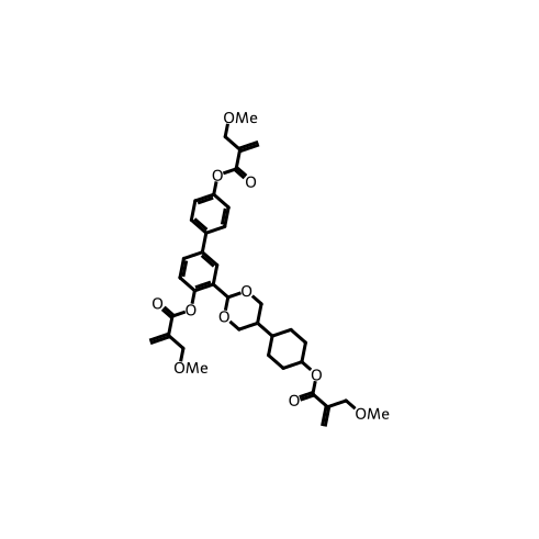 C=C(COC)C(=O)Oc1ccc(-c2ccc(OC(=O)C(=C)COC)c(C3OCC(C4CCC(OC(=O)C(=C)COC)CC4)CO3)c2)cc1